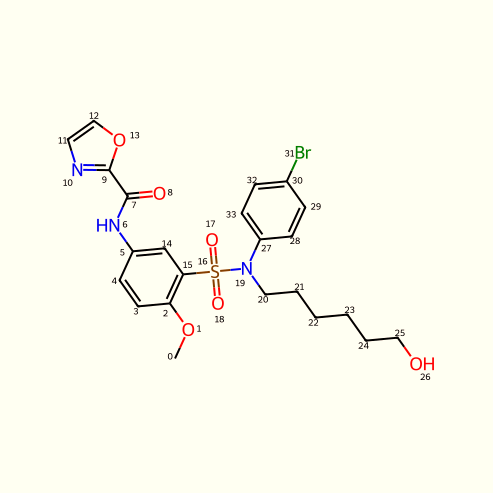 COc1ccc(NC(=O)c2ncco2)cc1S(=O)(=O)N(CCCCCCO)c1ccc(Br)cc1